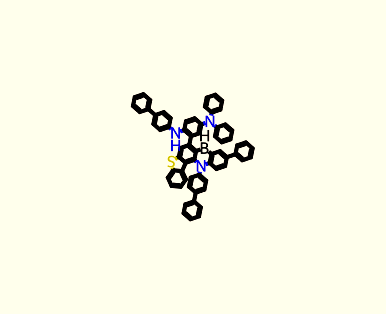 B1c2cc(-c3ccccc3)ccc2N(c2ccc(-c3ccccc3)cc2)c2c1c(-c1cc(N(c3ccccc3)c3ccccc3)ccc1Nc1ccc(-c3ccccc3)cc1)cc1sc3ccccc3c21